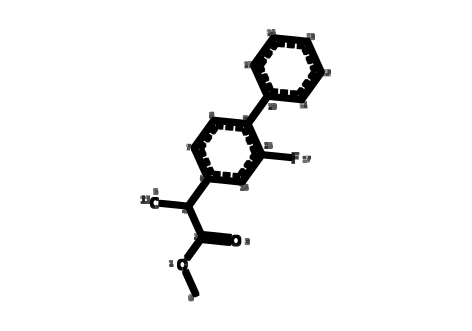 COC(=O)C([11CH3])c1ccc(-c2ccccc2)c(F)c1